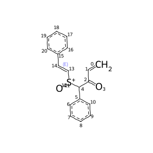 C=CC(=O)C(c1ccccc1)[S+]([O-])/C=C/c1ccccc1